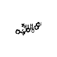 CC(C)(C)NSc1cc(NC(=O)N2CCc3cnccc3C2)ccc1-c1cnc(C2CCCCC2)s1